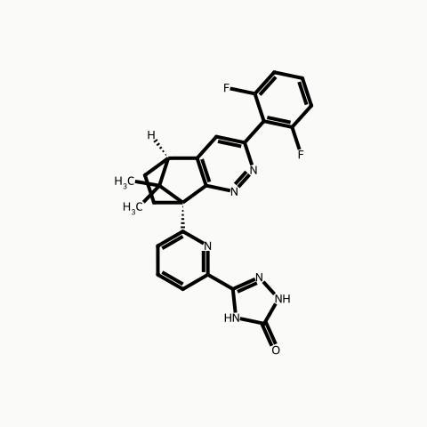 CC1(C)[C@H]2CC[C@]1(c1cccc(-c3n[nH]c(=O)[nH]3)n1)c1nnc(-c3c(F)cccc3F)cc12